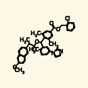 COc1ccc2cc(C(C)C(=O)OC(c3cc(-n4ccnc4)ccc3C)c3c(C)cc(C(=O)OCc4ccccc4Cl)cc3C)ccc2c1